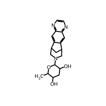 CC1OC(N2CC3CC(C2)c2cc4nccnc4cc23)C(O)CC1O